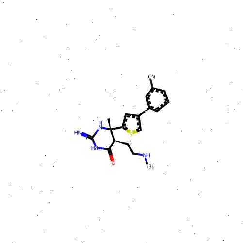 CCC(C)NCC[C@H]1C(=O)NC(=N)N[C@]1(C)c1cc(-c2cccc(C#N)c2)cs1